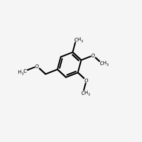 COCc1cc(C)c(OC)c(OC)c1